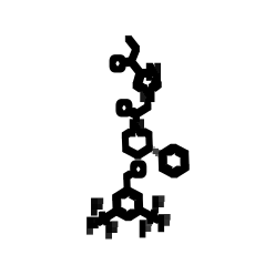 CCC(=O)c1cn(CC(=O)N2CC[C@@H](OCc3cc(C(F)(F)F)cc(C(F)(F)F)c3)[C@@H](c3ccccc3)C2)cn1